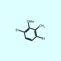 CCc1ccc(CC)c(OC)c1C